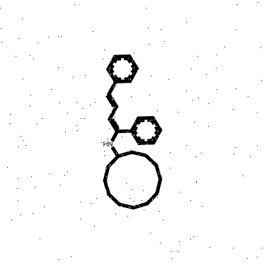 C(=Cc1ccccc1)C=C(NC1CCCCCCCCCCC1)c1ccccc1